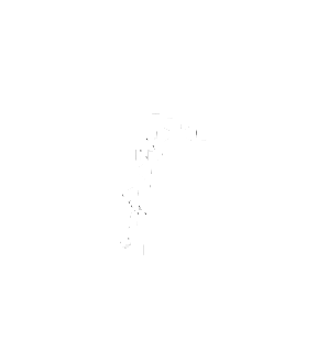 COCCOCn1ncc2c(Oc3ccc(NC(=O)Nc4ccc(Oc5ccc(F)cc5)c(C(F)(F)F)c4)cc3)ccnc21